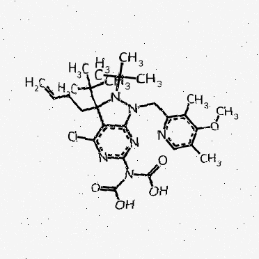 C=CCCC1(C(C)(C)C)c2c(Cl)nc(N(C(=O)O)C(=O)O)nc2N(Cc2ncc(C)c(OC)c2C)N1C(C)(C)C